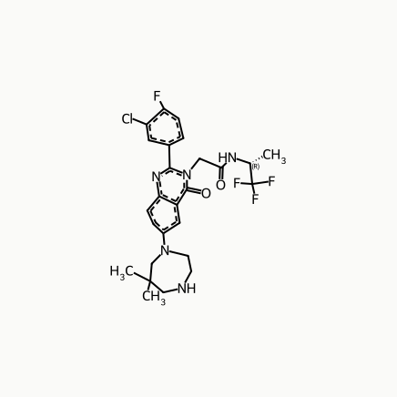 C[C@@H](NC(=O)Cn1c(-c2ccc(F)c(Cl)c2)nc2ccc(N3CCNCC(C)(C)C3)cc2c1=O)C(F)(F)F